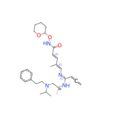 C=C=C\C(=N/C=C(C)/C=C/C(=O)NOC1CCCCO1)N[C@H](C)CN(CCc1ccccc1)C(C)C